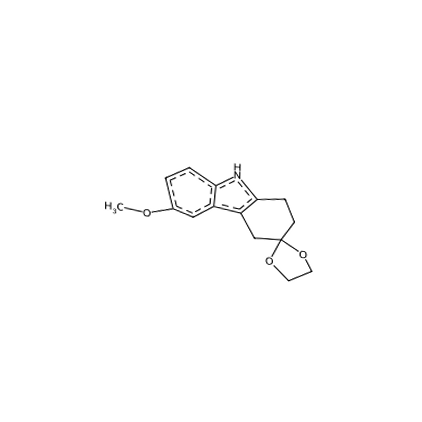 COc1ccc2[nH]c3c(c2c1)CC1(CC3)OCCO1